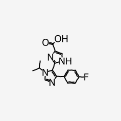 CC(C)n1cnc(-c2ccc(F)cc2)c1-c1nc(C(=O)O)c[nH]1